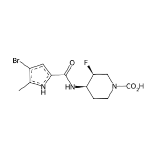 Cc1[nH]c(C(=O)N[C@@H]2CCN(C(=O)O)C[C@@H]2F)cc1Br